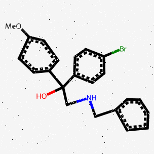 COc1ccc(C(O)(CNCc2ccccc2)c2ccc(Br)cc2)cc1